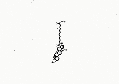 COC(=O)CCCCCCCCCCNC(=O)[C@]12CC[C@@H](C(C)C)[C@@H]1[C@H]1CCC3[C@@]4(C)CC[C@H](OC(C)=O)C(C)(C)[C@@H]4CC[C@@]3(C)[C@]1(C)CC2